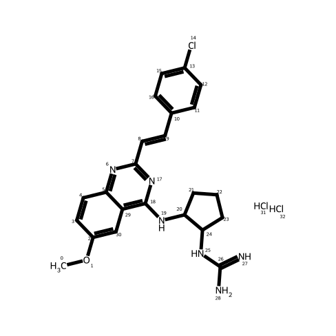 COc1ccc2nc(C=Cc3ccc(Cl)cc3)nc(NC3CCCC3NC(=N)N)c2c1.Cl.Cl